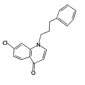 O=c1ccn(CCCc2ccccc2)c2cc(Cl)ccc12